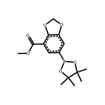 COC(=O)c1cc(B2OC(C)(C)C(C)(C)O2)cc2c1OCO2